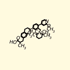 COc1cc(-c2ccc([C@@H]3CCc4ccc(CC(C)C(=O)O)cc4O3)cc2CN2C(C)(C)CCCC2(C)C)ccn1